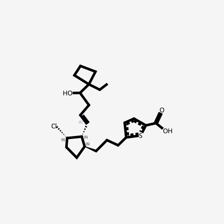 CCC1(C(O)C/C=C/[C@@H]2[C@@H](CCCc3ccc(C(=O)O)s3)CC[C@@H]2Cl)CCC1